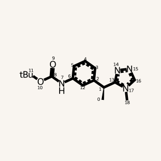 C[C@@H](c1cccc(NC(=O)OC(C)(C)C)c1)c1nncn1C